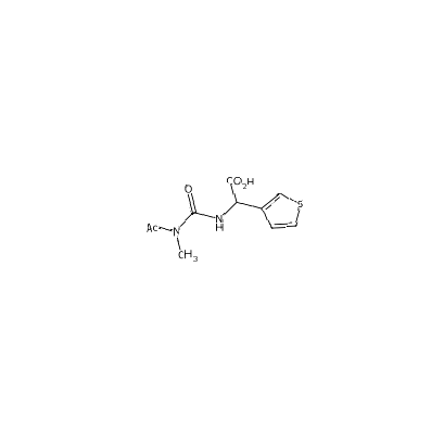 CC(=O)N(C)C(=O)NC(C(=O)O)c1ccsc1